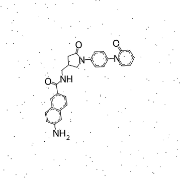 Nc1ccc2cc(C(=O)NCC3CC(=O)N(c4ccc(-n5ccccc5=O)cc4)C3)ccc2c1